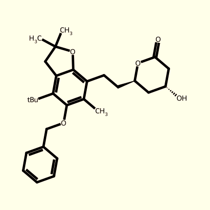 Cc1c(CC[C@@H]2C[C@@H](O)CC(=O)O2)c2c(c(C(C)(C)C)c1OCc1ccccc1)CC(C)(C)O2